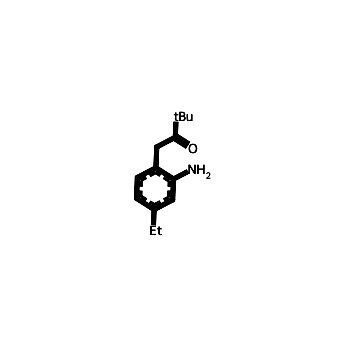 CCc1ccc(CC(=O)C(C)(C)C)c(N)c1